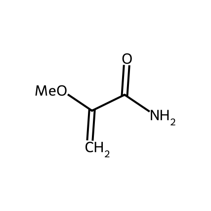 C=C(OC)C(N)=O